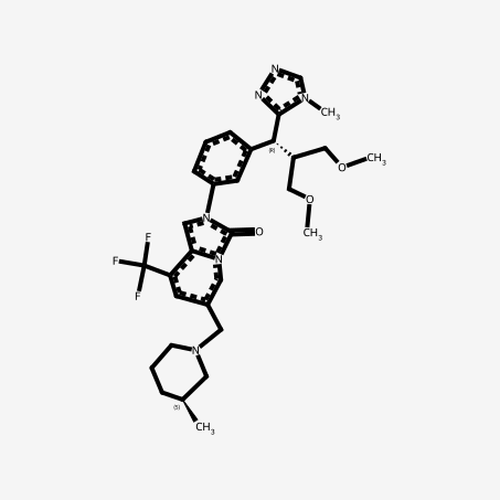 COCC(COC)[C@H](c1cccc(-n2cc3c(C(F)(F)F)cc(CN4CCC[C@H](C)C4)cn3c2=O)c1)c1nncn1C